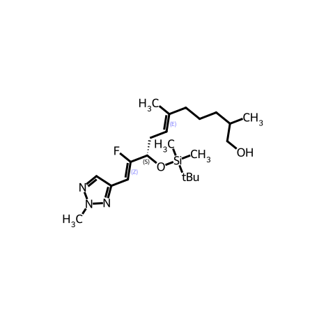 C/C(=C\C[C@H](O[Si](C)(C)C(C)(C)C)/C(F)=C/c1cnn(C)n1)CCCC(C)CO